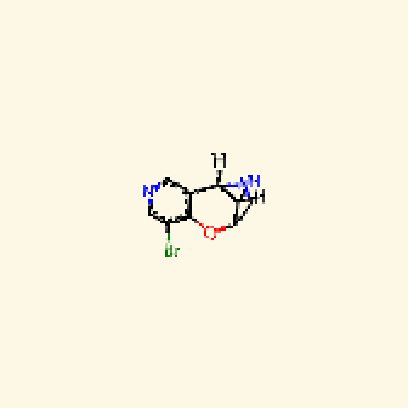 C[C@@H]1C2CN[C@H]1c1cncc(Br)c1O2